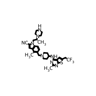 Cc1nc(NC2CCN(Cc3ccc4c(cc(C#N)n4C[C@H](C)N4CCNCC4)c3C)CC2)c2cc(CC(F)(F)F)sc2n1